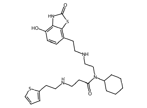 O=C(CCNCCc1cccs1)N(CCNCCc1ccc(O)c2[nH]c(=O)sc12)C1CCCCC1